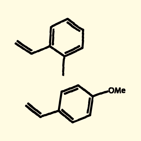 C=Cc1ccc(OC)cc1.C=Cc1ccccc1C